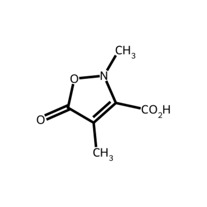 Cc1c(C(=O)O)n(C)oc1=O